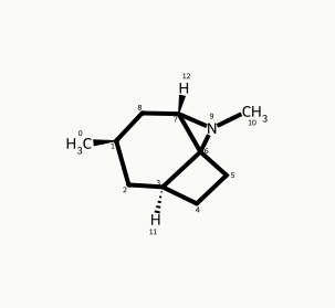 C[C@@H]1C[C@@H]2CCC23[C@H](C1)N3C